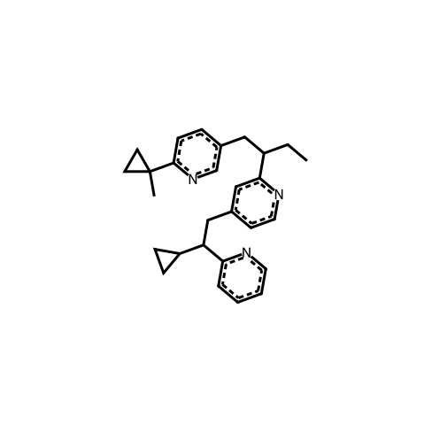 CCC(Cc1ccc(C2(C)CC2)nc1)c1cc(CC(c2ccccn2)C2CC2)ccn1